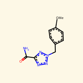 COc1ccc(Cn2nnc(C(N)=O)n2)cc1